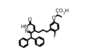 C[C@H](Oc1ccc(F)c(CCCc2cc(=O)[nH]nc2C(c2ccccc2)c2ccccc2)c1)C(=O)O